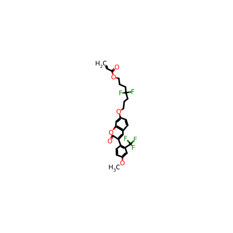 C=CC(=O)OCCCC(F)(F)CCCOc1ccc2cc(-c3ccc(OC)cc3C(F)(F)F)c(=O)oc2c1